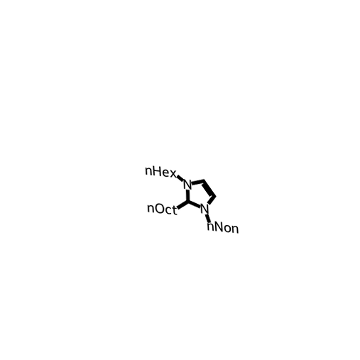 CCCCCCCCCN1C=CN(CCCCCC)C1CCCCCCCC